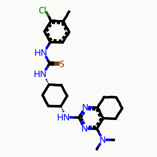 Cc1ccc(NC(=S)N[C@H]2CC[C@@H](Nc3nc4c(c(N(C)C)n3)CCCC4)CC2)cc1Cl